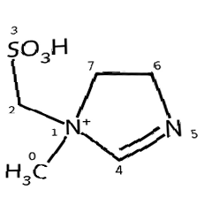 C[N+]1(CS(=O)(=O)O)C=NCC1